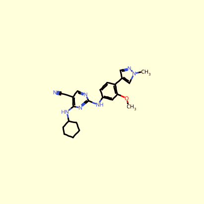 COc1cc(Nc2ncc(C#N)c(NC3CCCCC3)n2)ccc1-c1cnn(C)c1